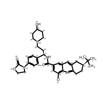 CC(C)(C)[C@H]1CCc2nc3c(Cl)cc(C(=O)N[C@H](CCN4CCC(O)CC4)c4ccc(N5CCOC5=O)cc4)cc3cc2C1